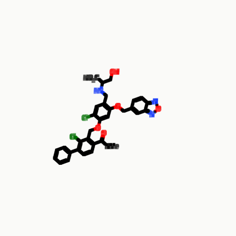 CNC(=O)c1ccc(-c2ccccc2)c(Cl)c1COc1cc(OCc2ccc3nonc3c2)c(CNC(CO)C(=O)O)cc1Cl